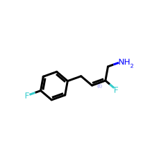 NC/C(F)=C\Cc1ccc(F)cc1